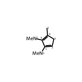 CNC1=CCC(C)=C1NC